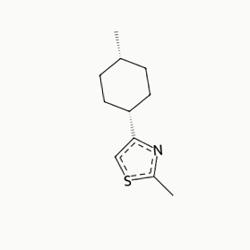 Cc1nc([C@H]2CC[C@@H](C)CC2)cs1